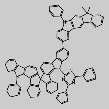 CC1(C)c2ccccc2-c2cc3c4cc(-c5ccc6c(c5)c5ccc7c(c5n6-c5nc(-c6ccccc6)nc(-c6ccccc6)n5)C5=C(C=CCC5)C75C6=C(CCC=C6)c6c5ccc5c7c(n(C8=CCCC=C8)c65)CCC=C7)ccc4n(-c4ccccc4)c3cc21